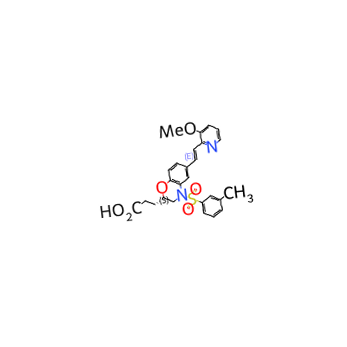 COc1cccnc1/C=C/c1ccc2c(c1)N(S(=O)(=O)c1cccc(C)c1)C[C@H](CCC(=O)O)O2